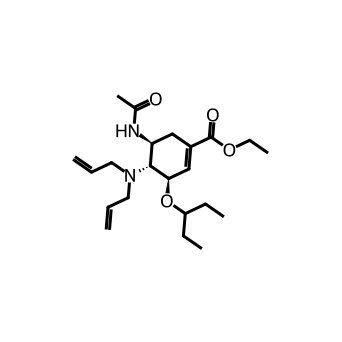 C=CCN(CC=C)[C@@H]1[C@@H](NC(C)=O)CC(C(=O)OCC)=C[C@H]1OC(CC)CC